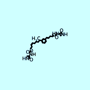 CC(CCC/C=C\CCOC(=O)N[C@H]1CNC1=O)c1cccc(/C=C/CCOC(=O)N[C@H]2CNC2=O)c1